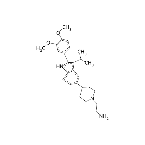 COc1ccc(-c2[nH]c3ccc(C4CCN(CCN)CC4)cc3c2C(C)C)cc1OC